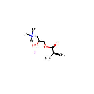 C=C(C)C(=O)OCC(O)C[N+](CC)(CC)CC.[I-]